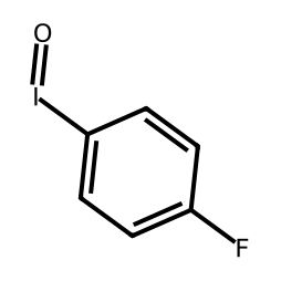 O=Ic1ccc(F)cc1